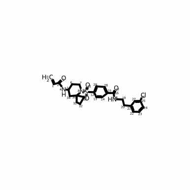 C=CC(=O)NC1CCN(S(=O)(=O)c2ccc(C(=O)NCCc3cccc(Cl)c3)cc2)C2(CCC2)C1